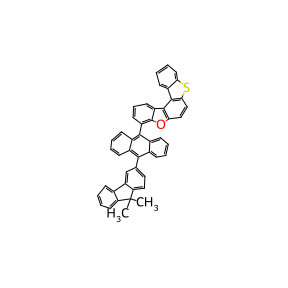 CC1(C)c2ccccc2-c2cc(-c3c4ccccc4c(-c4cccc5c4oc4ccc6sc7ccccc7c6c45)c4ccccc34)ccc21